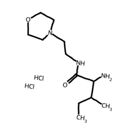 CCC(C)C(N)C(=O)NCCN1CCOCC1.Cl.Cl